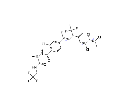 C=C(/C=C(Cl)\C(Cl)=C(/C)Cl)C(/C=C(\F)c1ccc(C(=O)N[C@H](C)C(=O)NCC(F)(F)F)c(Cl)c1)C(C)(F)F